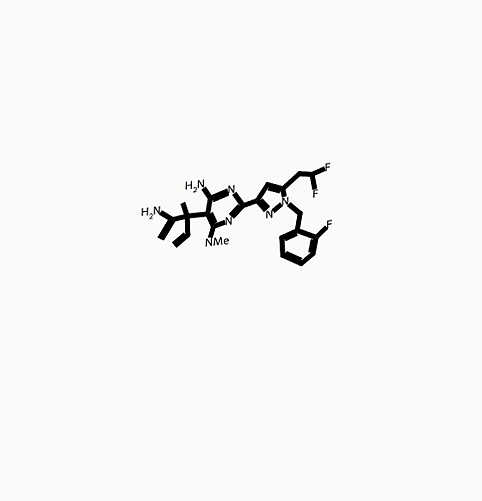 C=CC(C)(C(=C)N)c1c(N)nc(-c2cc(CC(F)F)n(Cc3ccccc3F)n2)nc1NC